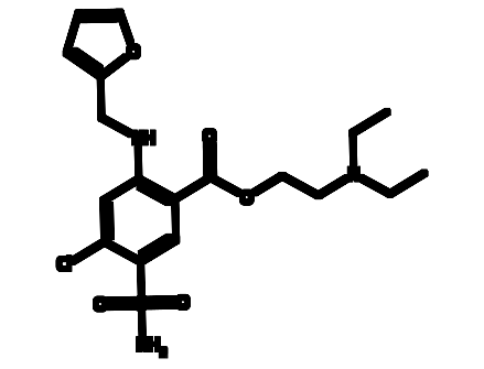 CCN(CC)CCOC(=O)c1cc(S(N)(=O)=O)c(Cl)cc1NCc1ccco1